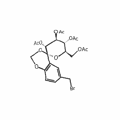 CC(=O)OC[C@H]1O[C@]2(OCOc3ccc(CBr)cc32)[C@H](OC(C)=O)[C@@H](OC(C)=O)[C@@H]1OC(C)=O